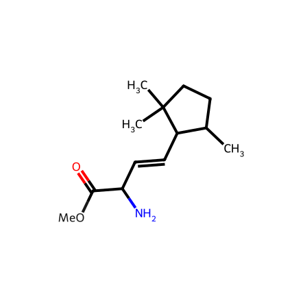 COC(=O)C(N)C=CC1C(C)CCC1(C)C